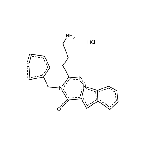 Cl.NCCCc1nn2c(cc3ccccc32)c(=O)n1Cc1ccccc1